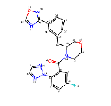 O=C(c1cc(F)ccc1-n1nccn1)N1CCOCC1Cc1cccc(-c2ncon2)c1